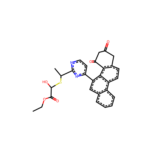 CCOC(=O)C(O)SC(C)c1nccc(-c2cc3ccccc3c3ccc4c(c23)C(=O)CC(=O)C4)n1